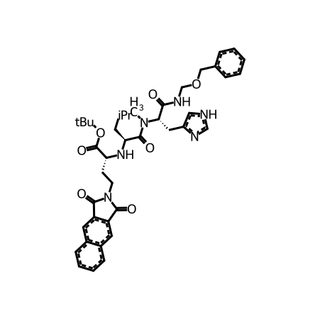 CC(C)C[C@H](N[C@H](CCN1C(=O)c2cc3ccccc3cc2C1=O)C(=O)OC(C)(C)C)C(=O)N(C)[C@@H](Cc1c[nH]cn1)C(=O)NCOCc1ccccc1